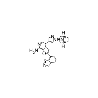 Nc1ncc(-c2cnn([C@@H]3C[C@H]4CC[C@@H](C3)N4)c2)c2cc(-c3cccc4cnsc34)oc12